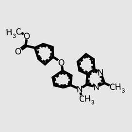 COC(=O)c1ccc(Oc2cccc(N(C)c3nc(C)nc4ccccc34)c2)cc1